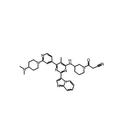 Cc1c(NC2CCCN(C(=O)CC#N)C2)nc(-c2cnc3ccccn23)nc1-c1ccnc(N2CCC(N(C)C)CC2)c1